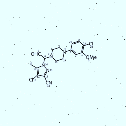 COc1cc(N2CCN(C(C=O)n3nc(C#N)c(Cl)c3C)CC2)ccc1Cl